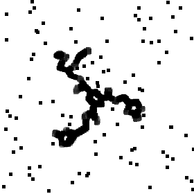 COCC(COC(=O)c1cc(C(=O)OCC2COC(=O)O2)cc(C(=O)OCC2COC(=O)O2)c1)OC=O